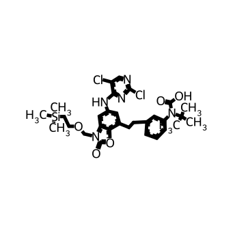 CC(C)(C)N(C(=O)O)c1cccc(CCc2cc(Nc3nc(Cl)ncc3Cl)cc3c2oc(=O)n3COCC[Si](C)(C)C)c1